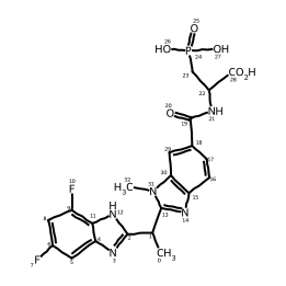 CC(c1nc2cc(F)cc(F)c2[nH]1)c1nc2ccc(C(=O)NC(CP(=O)(O)O)C(=O)O)cc2n1C